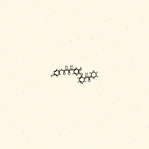 O=C(Cc1ccc(F)cc1)NC(=O)Nc1ccc(OC2=CC=NCC2NC(=O)C2CCCCC2)c(F)c1